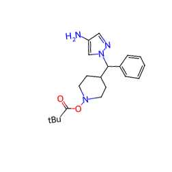 CC(C)(C)C(=O)ON1CCC(C(c2ccccc2)n2cc(N)cn2)CC1